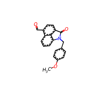 COc1ccc(CN2C(=O)c3ccc(C=O)c4cccc2c34)cc1